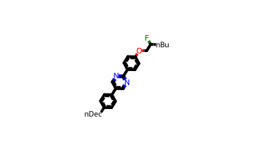 CCCCCCCCCCc1ccc(-c2cnc(-c3ccc(OCC(F)CCCC)cc3)nc2)cc1